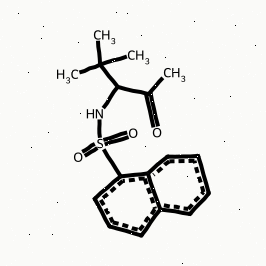 CC(=O)C(NS(=O)(=O)c1cccc2ccccc12)C(C)(C)C